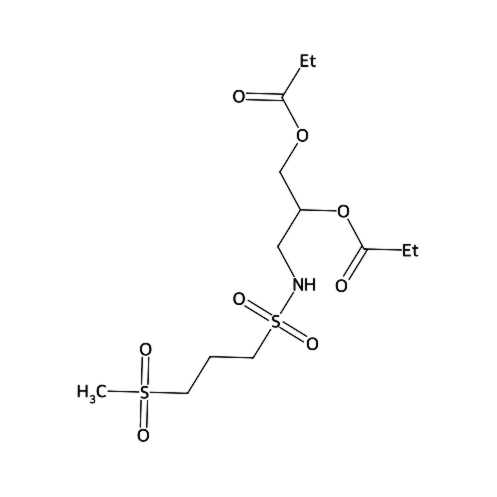 CCC(=O)OCC(CNS(=O)(=O)CCCS(C)(=O)=O)OC(=O)CC